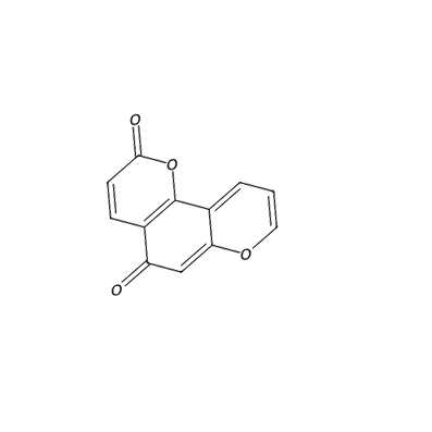 O=c1ccc2c(=O)cc3occcc-3c2o1